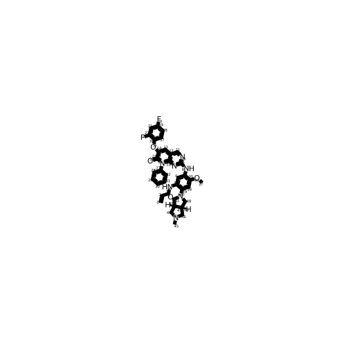 C=CC(=O)Nc1cc(Nc2ncc3cc(Oc4ccc(F)cc4F)c(=O)n(-c4ccccc4)c3n2)c(OC)cc1N1C[C@H]2CN(C)C[C@H]2C1